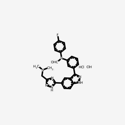 CN(C)Cc1n[nH]c(-c2ccc3[nH]nc(-c4cccc(N(C=O)c5ccc(F)cc5)c4)c3c2)n1.Cl.Cl